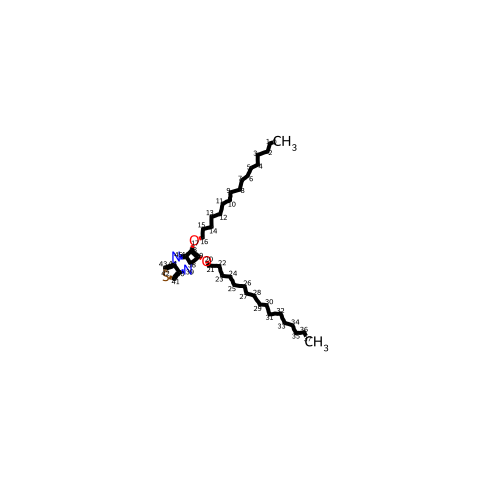 CCCCCCCCCCCCCCCCCOC1=C(OCCCCCCCCCCCCCCCCC)c2nc3cscc3nc21